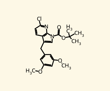 COc1cc(Cc2cn(C(=O)OC(C)(C)C)c3nc(Cl)ccc23)cc(OC)c1